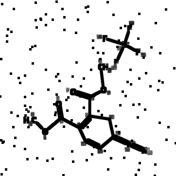 COC(=O)C1=C(C(=O)OC)CC(=[N+]=[N-])C=C1.F[B-](F)(F)F